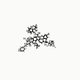 CC(C)(C#Cc1ccc(-c2ccc(Cl)c3c(N(C(=O)NCCN4CCNCC4)S(C)(=O)=O)nn(CC(F)(F)F)c23)c([C@H](Cc2cc(F)cc(F)c2)NC(=O)Cn2nc(C(F)(F)F)c3c2C(F)(F)[C@@H]2C[C@H]32)n1)S(C)(=O)=O